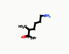 CCCC(=O)C(CCCCN)C(=O)O